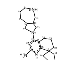 Nc1nc(N2CC3CCCNCC3C2)c2c(n1)C1(CCCC1)CCC2